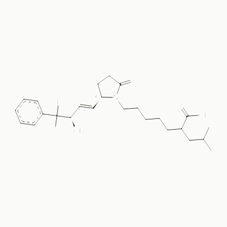 CC(C)CC(CCCCCN1C(=O)CC[C@@H]1/C=C/[C@@H](O)C(F)(F)c1ccccc1)C(=O)O